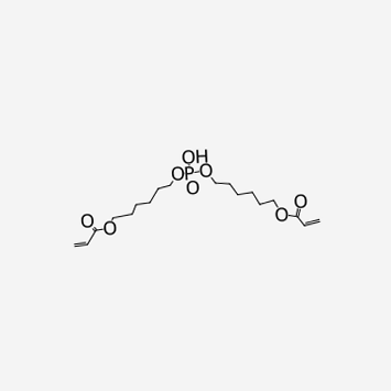 C=CC(=O)OCCCCCCOP(=O)(O)OCCCCCCOC(=O)C=C